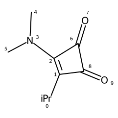 CC(C)c1c(N(C)C)c(=O)c1=O